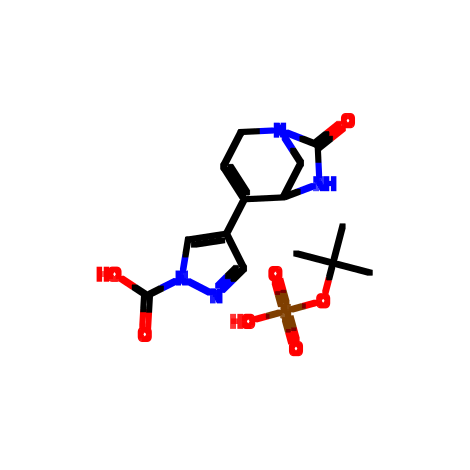 CC(C)(C)OS(=O)(=O)O.O=C1NC2CN1CC=C2c1cnn(C(=O)O)c1